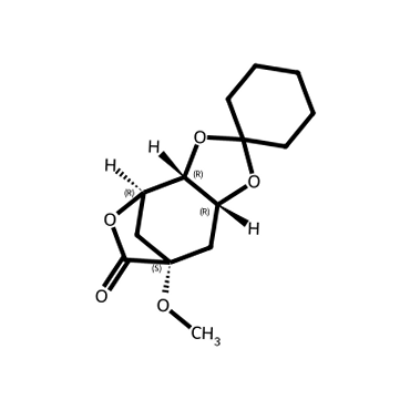 CO[C@@]12C[C@@H](OC1=O)[C@@H]1OC3(CCCCC3)O[C@@H]1C2